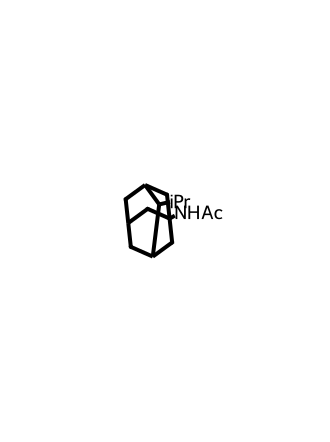 CC(=O)NC12CC3CC(C1)C(C(C)C)C(C3)C2